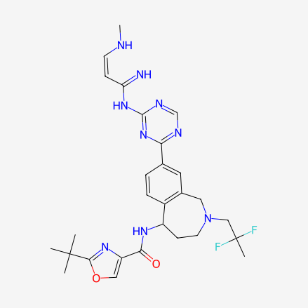 CN/C=C\C(=N)Nc1ncnc(-c2ccc3c(c2)CN(CC(C)(F)F)CCC3NC(=O)c2coc(C(C)(C)C)n2)n1